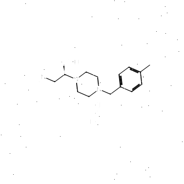 Cc1ccc(CN2CCN([C@@H](CN)C(=O)O)CC2)cc1.Cl.Cl.Cl